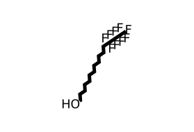 OCCCCCCCCCCCCC(F)(F)C(F)(F)C(F)(F)C(F)(F)F